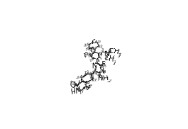 CN(C)Cc1cc(-c2nc(-c3ccc4c(=O)[nH]cc(F)c4c3)c(N)nc2F)cc(F)c1N1CCOCC1